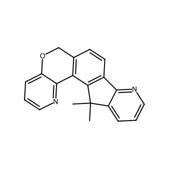 CC1(C)c2cccnc2-c2ccc3c(c21)-c1ncccc1OC3